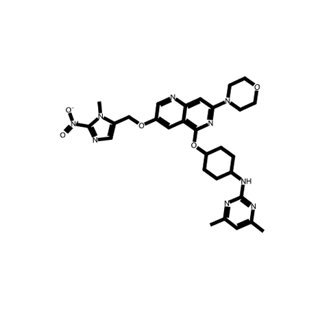 Cc1cc(C)nc(NC2CCC(Oc3nc(N4CCOCC4)cc4ncc(OCc5cnc([N+](=O)[O-])n5C)cc34)CC2)n1